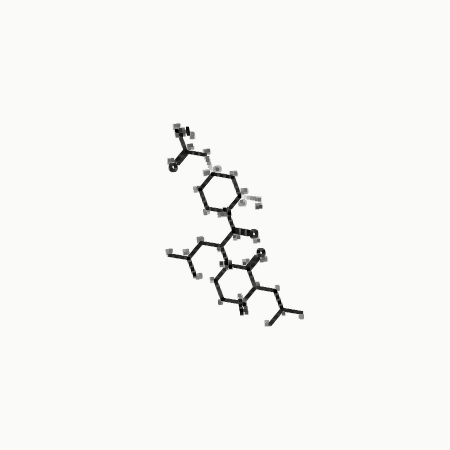 CC(C)CC1NCCN(C(CC(C)C)C(=O)N2CC[C@H](CC(N)=O)C[C@@H]2C)C1=O